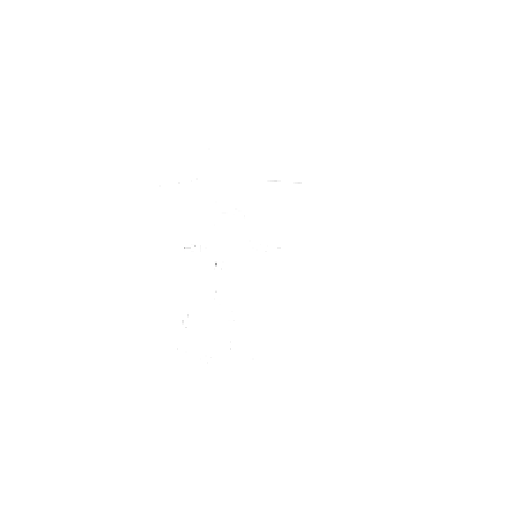 CCc1c(C(C)C)[nH]n(-c2cccc(C)c2)c1=O